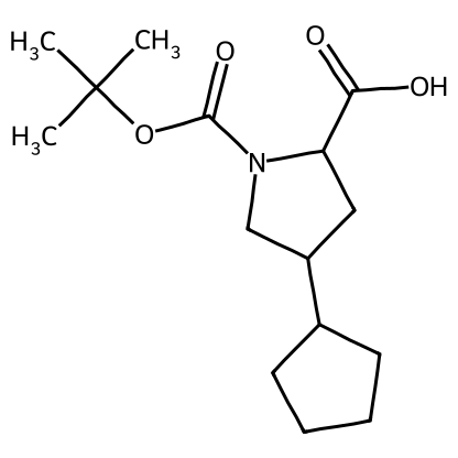 CC(C)(C)OC(=O)N1CC(C2CCCC2)CC1C(=O)O